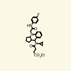 CCOC(=O)CCC(=O)N(C1CC1)C1c2ccccc2N(CC(=O)Nc2ccc(F)cc2)C2CCCC21